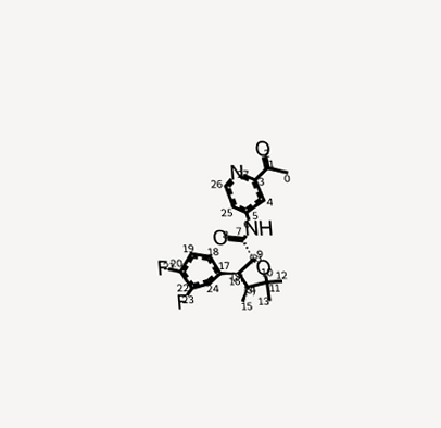 CC(=O)c1cc(NC(=O)[C@@H]2OC(C)(C)[C@@H](C)[C@H]2c2ccc(F)c(F)c2)ccn1